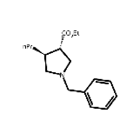 CCC[C@@H]1CN(Cc2ccccc2)C[C@H]1C(=O)OCC